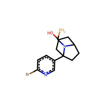 OC1CC2CCC(c3ccc(Br)nc3)(C1)N2CP